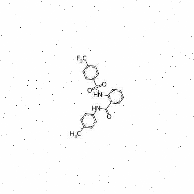 Cc1ccc(NC(=O)c2ccccc2NS(=O)(=O)c2ccc(C(F)(F)F)cc2)cc1